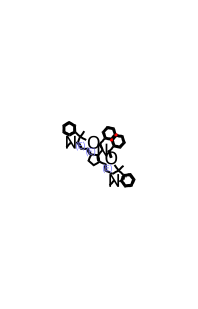 CN1/C(=C/C=C2\CCC(/C=C/C3=[N+](C)c4ccccc4C3(C)C)=C2N(C(=O)c2ccccc2)C(=O)c2ccccc2)C(C)(C)c2ccccc21